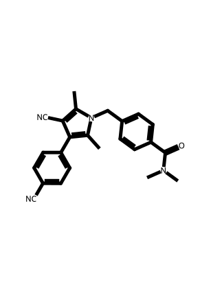 Cc1c(C#N)c(-c2ccc(C#N)cc2)c(C)n1Cc1ccc(C(=O)N(C)C)cc1